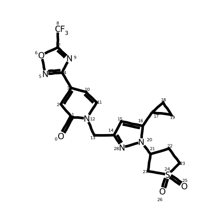 O=c1cc(-c2noc(C(F)(F)F)n2)ccn1Cc1cc(C2CC2)n(C2CCS(=O)(=O)C2)n1